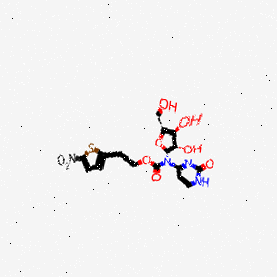 O=C(OCCc1ccc([N+](=O)[O-])s1)N(c1cc[nH]c(=O)n1)[C@@H]1O[C@H](CO)[C@@H](O)[C@@H]1O